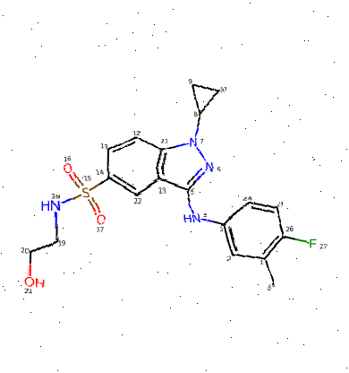 Cc1cc(Nc2nn(C3CC3)c3ccc(S(=O)(=O)NCCO)cc23)ccc1F